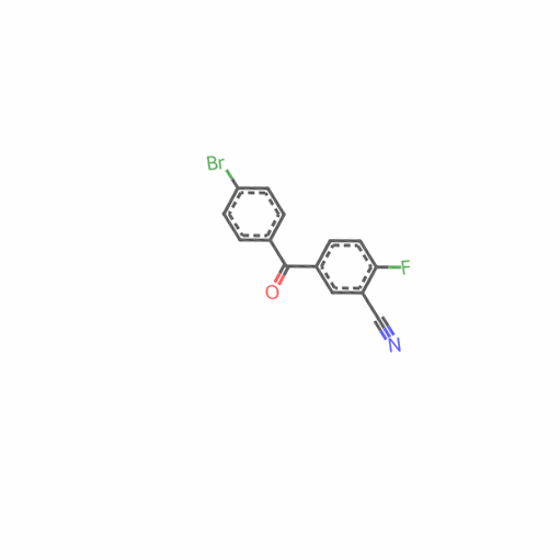 N#Cc1cc(C(=O)c2ccc(Br)cc2)ccc1F